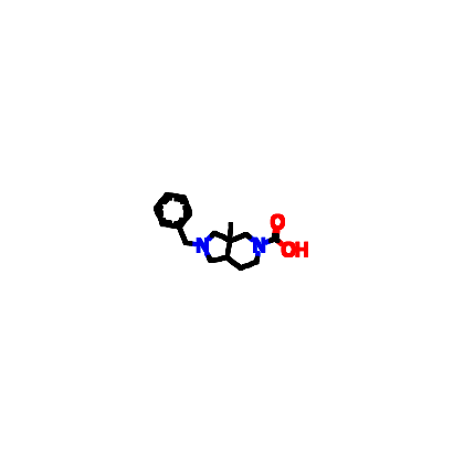 CC12CN(Cc3ccccc3)CC1CCN(C(=O)O)C2